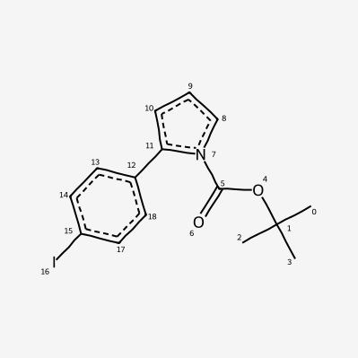 CC(C)(C)OC(=O)n1cccc1-c1ccc(I)cc1